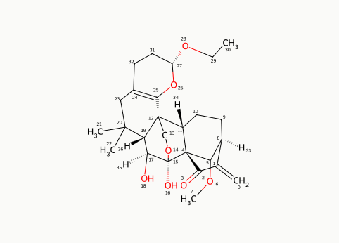 C=C1C(=O)[C@]23C(OC)[C@H]1CC[C@H]2[C@@]12CO[C@]3(O)[C@@H](O)[C@@H]1C(C)(C)CC1=C2O[C@@H](OCC)CC1